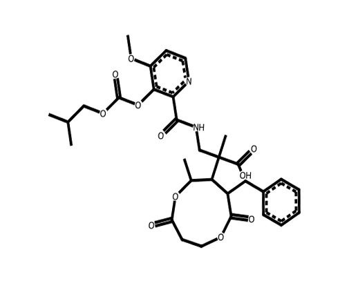 COc1ccnc(C(=O)NCC(C)(C(=O)O)C2C(C)OC(=O)CCOC(=O)C2Cc2ccccc2)c1OC(=O)OCC(C)C